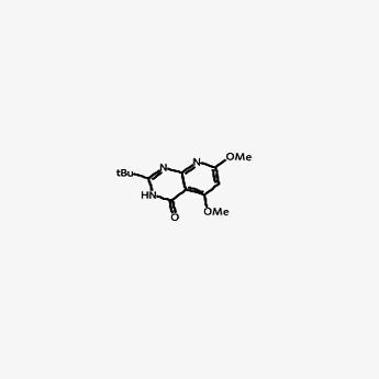 COc1cc(OC)c2c(=O)[nH]c(C(C)(C)C)nc2n1